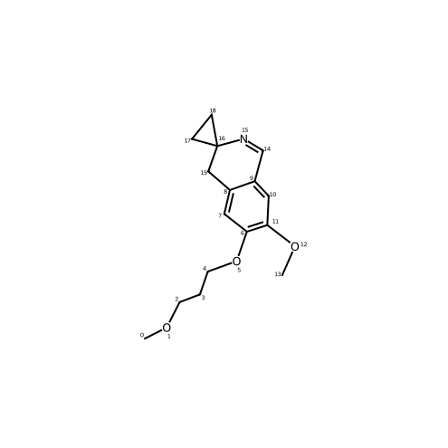 COCCCOc1cc2c(cc1OC)C=NC1(CC1)C2